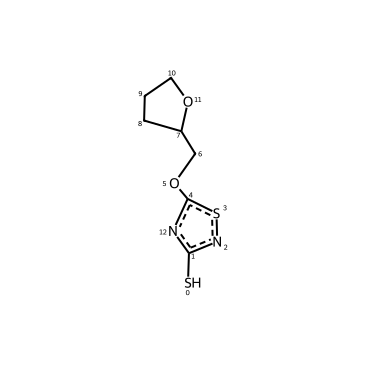 Sc1nsc(OCC2CCCO2)n1